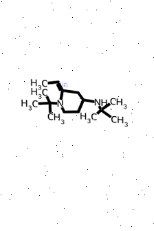 C/C=C1/CC(NC(C)(C)C)CCN1C(C)(C)C